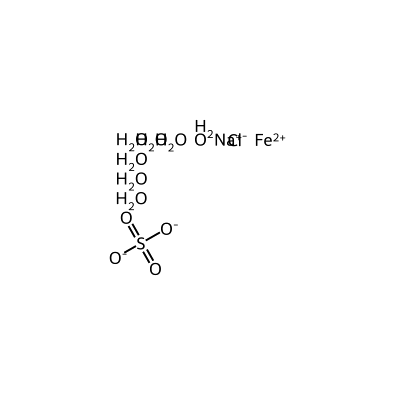 O.O.O.O.O.O.O.O=S(=O)([O-])[O-].[Cl-].[Fe+2].[Na+]